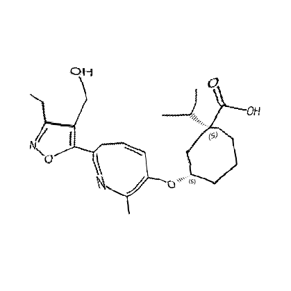 Cc1nc(-c2onc(C)c2CO)ccc1O[C@H]1CCC[C@@](C(=O)O)(C(C)C)C1